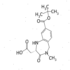 CN1Cc2ccc(C(=O)OC(C)(C)C)cc2N[C@@H](CC(=O)O)C1=O